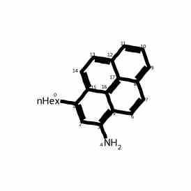 CCCCCCc1cc(N)c2ccc3cccc4ccc1c2c34